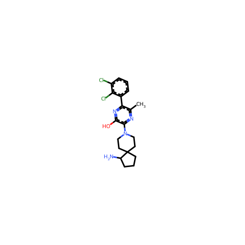 Cc1nc(N2CCC3(CCCC3N)CC2)c(O)nc1-c1cccc(Cl)c1Cl